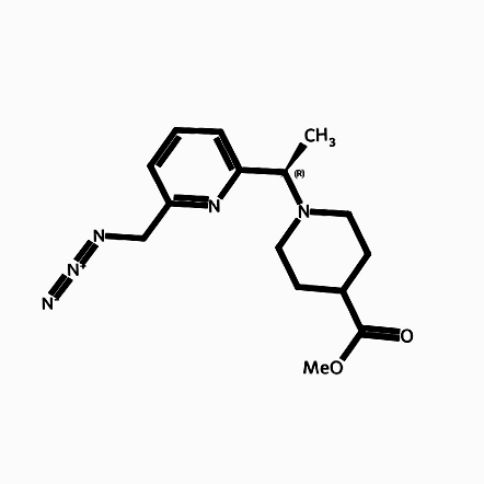 COC(=O)C1CCN([C@H](C)c2cccc(CN=[N+]=[N-])n2)CC1